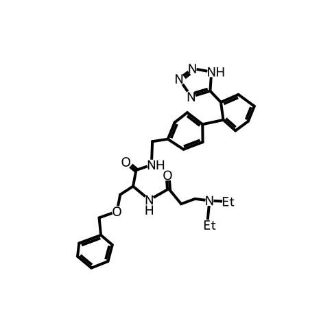 CCN(CC)CCC(=O)NC(COCc1ccccc1)C(=O)NCc1ccc(-c2ccccc2-c2nnn[nH]2)cc1